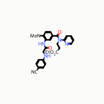 CCOC(=O)CCN(C(=O)c1ccc(NC)c(NC(=O)CNc2ccc(C#N)cc2)c1)c1ccccn1